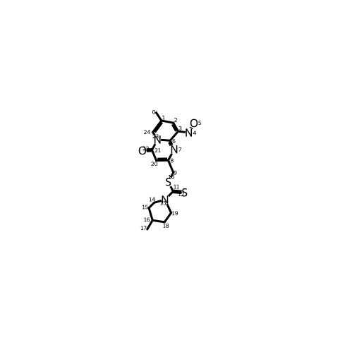 Cc1cc(N=O)c2nc(CSC(=S)N3CCC(C)CC3)cc(=O)n2c1